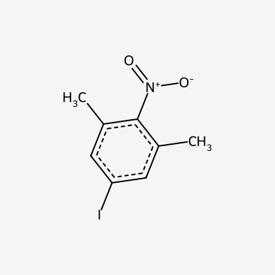 Cc1cc(I)cc(C)c1[N+](=O)[O-]